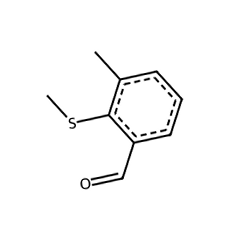 CSc1c(C)cccc1C=O